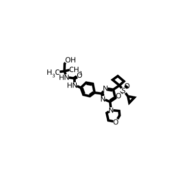 CC(C)(CO)NC(=O)Nc1ccc(-c2nc(N3CCOCC3)cc(C3(S(=O)(=O)C4CC4)CCC3)n2)cc1